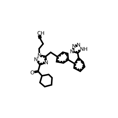 C#CCCn1nc(C(=O)C2CCCCC2)nc1Cc1ccc(-c2ccccc2-c2nnn[nH]2)cc1